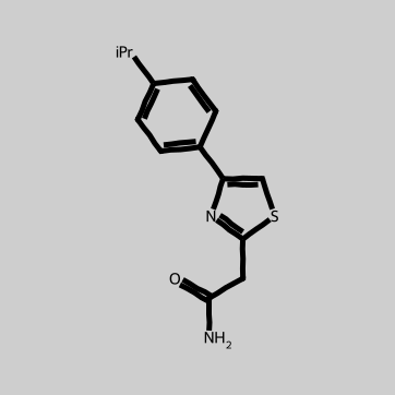 CC(C)c1ccc(-c2csc(CC(N)=O)n2)cc1